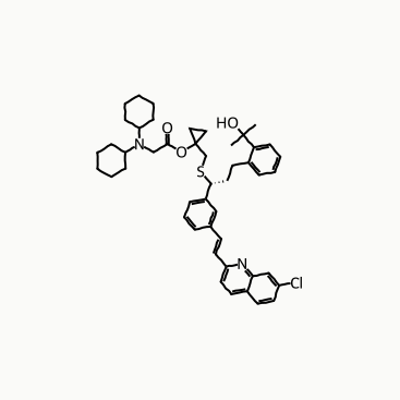 CC(C)(O)c1ccccc1CC[C@@H](SCC1(OC(=O)CN(C2CCCCC2)C2CCCCC2)CC1)c1cccc(C=Cc2ccc3ccc(Cl)cc3n2)c1